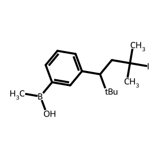 CB(O)c1cccc(C(CC(C)(C)I)C(C)(C)C)c1